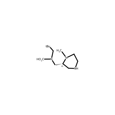 CN1CCNC[C@@H]1CN(CC(C)(C)C)C(=O)O